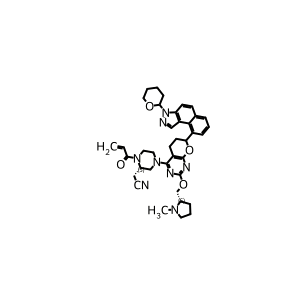 C=CC(=O)N1CCN(c2nc(OC[C@@H]3CCCN3C)nc3c2CCC(c2cccc4ccc5c(cnn5C5CCCCO5)c24)O3)C[C@@H]1CC#N